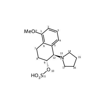 COc1cccc2c1CC[C@@H](OS(=O)(=O)O)[C@@H]2N1CCCC1